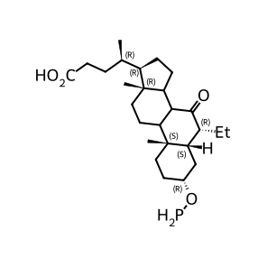 CC[C@H]1C(=O)C2C3CC[C@H]([C@H](C)CCC(=O)O)[C@@]3(C)CCC2[C@@]2(C)CC[C@@H](OP)C[C@@H]12